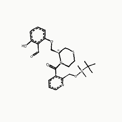 CC(C)(C)[Si](C)(C)OCc1ncccc1C(=O)N1CCSC[C@@H]1COc1cccc(O)c1C=O